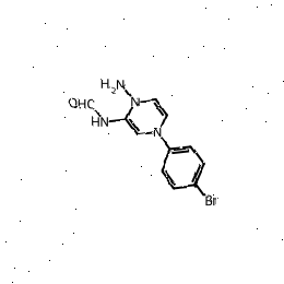 NN1C=CN(c2ccc(Br)cc2)C=C1NC=O